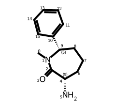 CN1C(=O)[C@@H](N)CCC[C@H]1c1ccccc1